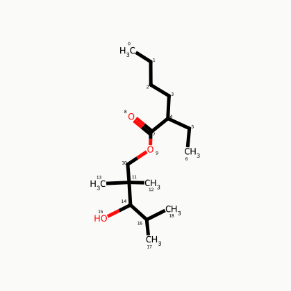 CCCCC(CC)C(=O)OCC(C)(C)C(O)C(C)C